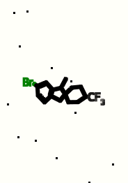 CC1c2cc(Br)ccc2CC12CCC(C(F)(F)F)CC2